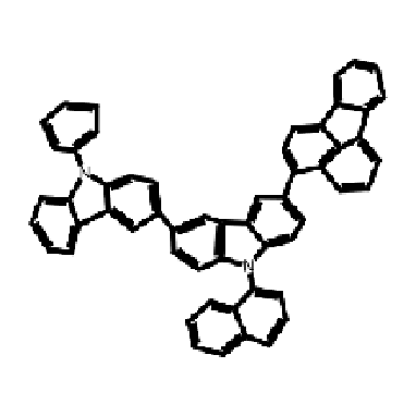 c1ccc(-n2c3ccccc3c3cc(-c4ccc5c(c4)c4cc(-c6ccc7c8c(cccc68)-c6ccccc6-7)ccc4n5-c4cccc5ccccc45)ccc32)cc1